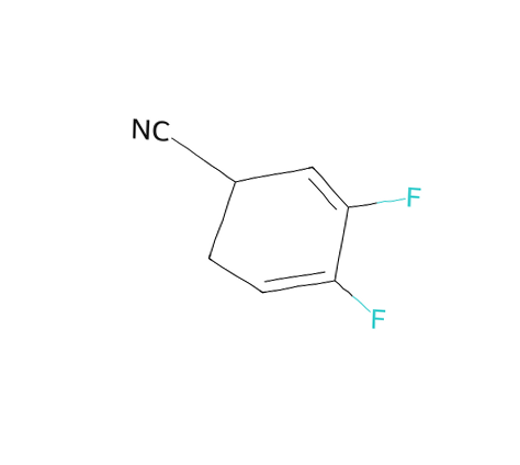 N#CC1C=C(F)C(F)=CC1